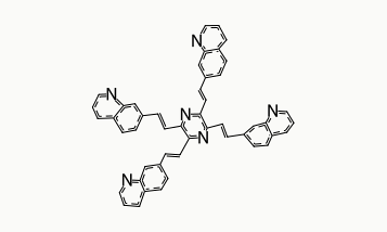 C(=Cc1nc(C=Cc2ccc3cccnc3c2)c(C=Cc2ccc3cccnc3c2)nc1C=Cc1ccc2cccnc2c1)c1ccc2cccnc2c1